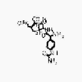 CC(=O)OCC1=C(C(=O)O)N2C(=O)[C@@H](NC(=O)C(N)c3ccc(NC(N)=O)cc3)[C@H]2SC1